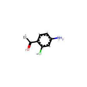 CCC(=O)c1ccc(N)cc1Cl